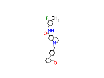 Cc1ccc(CNC(=O)c2ccc3c(c2)CCCN3CCc2ccc(-c3ccccc3C=O)cc2)cc1F